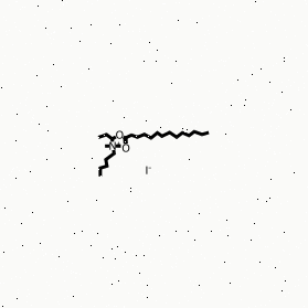 CCCCCCCCCCCCCC(=O)OC(CC)[N+](C)(C)CCCCC.[I-]